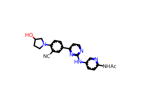 CC(=O)Nc1ccc(Nc2nccc(-c3ccc(N4CCC(O)C4)c(C#N)c3)n2)cn1